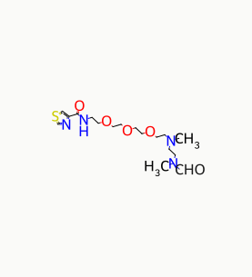 CN(C=O)CCN(C)CCOCCOCCOCCNC(=O)c1cscn1